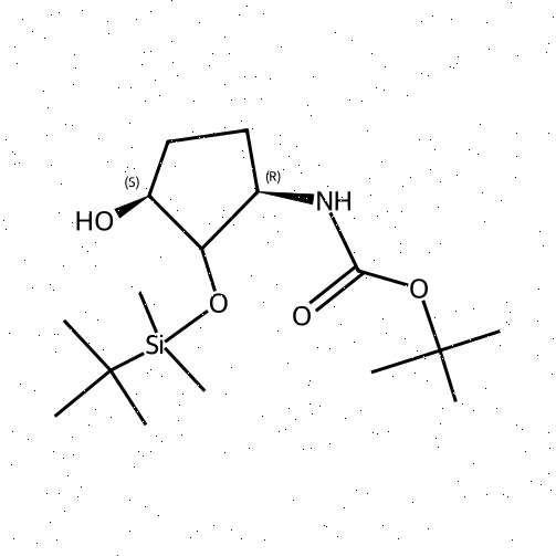 CC(C)(C)OC(=O)N[C@@H]1CC[C@H](O)C1O[Si](C)(C)C(C)(C)C